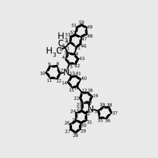 CC1(C)c2cc(N(c3ccccc3)c3ccc(-c4ccc5c(c4)c4cc6ccccc6cc4n5-c4ccccc4)cc3)ccc2-c2cc3ccccc3cc21